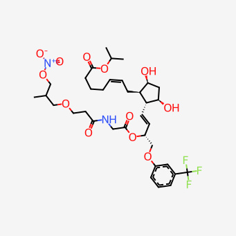 CC(COCCC(=O)NCC(=O)O[C@H](/C=C/[C@@H]1[C@@H](C/C=C\CCCC(=O)OC(C)C)[C@@H](O)C[C@H]1O)COc1cccc(C(F)(F)F)c1)CO[N+](=O)[O-]